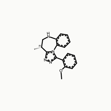 COc1ccccc1-c1nnc2n1-c1ccccc1NC[C@H]2C